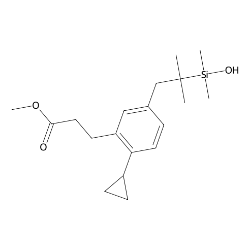 COC(=O)CCc1cc(CC(C)(C)[Si](C)(C)O)ccc1C1CC1